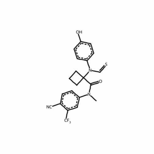 CN(C(=O)C1(N(C=S)c2ccc(O)cc2)CCC1)c1ccc(C#N)c(C(F)(F)F)c1